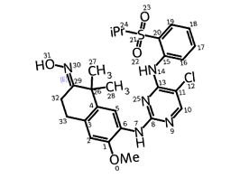 COc1cc2c(cc1Nc1ncc(Cl)c(Nc3ccccc3S(=O)(=O)C(C)C)n1)C(C)(C)/C(=N/O)CC2